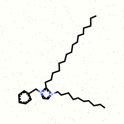 CCCCCCCCCCCCCCCCc1n(Cc2ccccc2)cc[n+]1CCCCCCCCCC